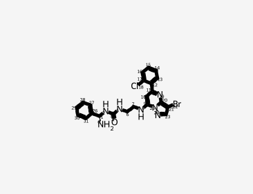 N[C@@H](NC(=O)NCCNc1cc(-c2ccccc2Cl)nc2c(Br)cnn12)c1ccccc1